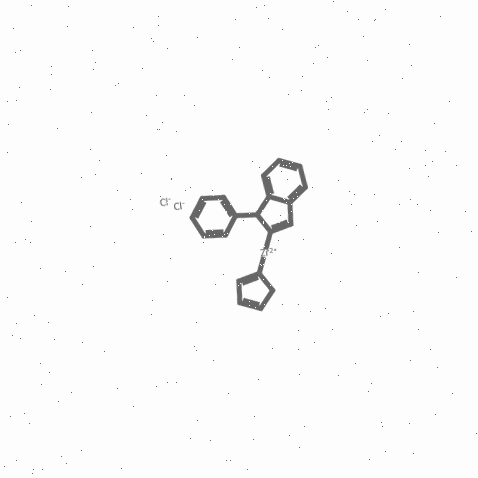 C1=CC[C]([Zr+2][C]2=Cc3ccccc3C2c2ccccc2)=C1.[Cl-].[Cl-]